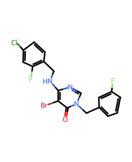 O=c1c(Br)c(NCc2ccc(Cl)cc2F)ncn1Cc1cccc(F)c1